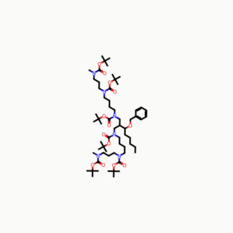 CCCCCC(OCc1ccccc1)C(CN(CCCCN(CCCN(C)C(=O)OC(C)(C)C)C(=O)OC(C)(C)C)C(=O)OC(C)(C)C)CN(CCCCN(CCCN(C)C(=O)OC(C)(C)C)C(=O)OC(C)(C)C)C(=O)OC(C)(C)C